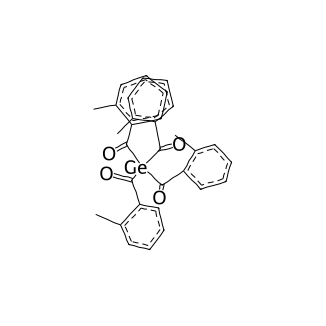 Cc1ccccc1[C](=O)[Ge]([C](=O)c1ccccc1C)([C](=O)c1ccccc1C)[C](=O)c1ccccc1C